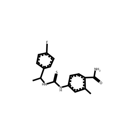 Cc1cc(NC(=S)NC(C)c2ccc(F)cc2)ccc1C(N)=O